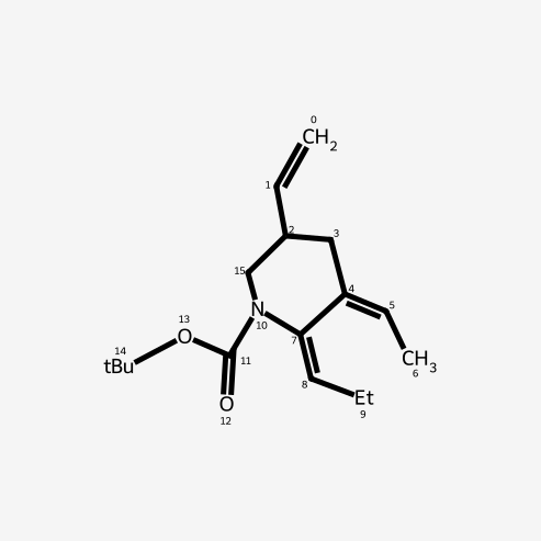 C=CC1CC(=C/C)/C(=C\CC)N(C(=O)OC(C)(C)C)C1